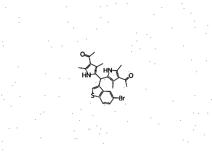 CC(=O)c1c(C)[nH]c(C(c2[nH]c(C)c(C(C)=O)c2C)c2csc3ccc(Br)cc23)c1C